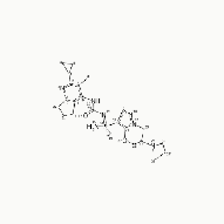 Cc1c(C2CC2)nc2c(c1NC(=O)N=S(N)(=O)c1cnn3c1OCC(N1CCC1)C3)CCC2